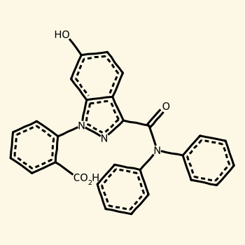 O=C(O)c1ccccc1-n1nc(C(=O)N(c2ccccc2)c2ccccc2)c2ccc(O)cc21